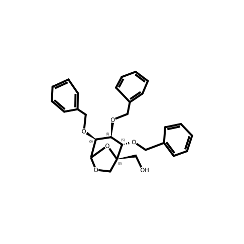 OC[C@@]12COC(O1)[C@@H](OCc1ccccc1)[C@@H](OCc1ccccc1)[C@@H]2OCc1ccccc1